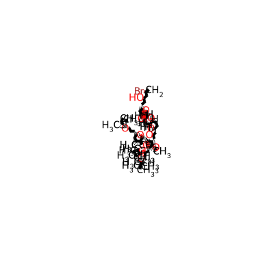 C=C(Br)CC(O)CC[C@@]12C[C@H]3O[C@H]4[C@@H](O1)[C@H]1O[C@@H](CC(=O)C[C@@H]5[C@@H](OC)[C@@H](CC(CO[Si](C)(C)C(C)(C)C)O[Si](C)(C)C(C)(C)C)O[C@H]5C[C@H]5O[C@@H](CCCO[Si](CC)(CC)CC)C[C@@H](C)C5=C)CC[C@@H]1O[C@H]4[C@H]3O2